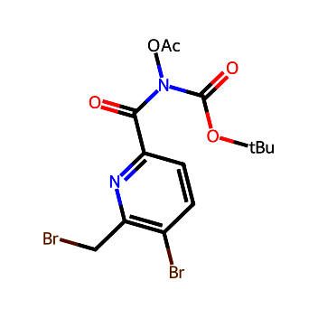 CC(=O)ON(C(=O)OC(C)(C)C)C(=O)c1ccc(Br)c(CBr)n1